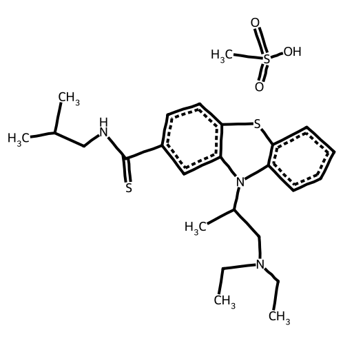 CCN(CC)CC(C)N1c2ccccc2Sc2ccc(C(=S)NCC(C)C)cc21.CS(=O)(=O)O